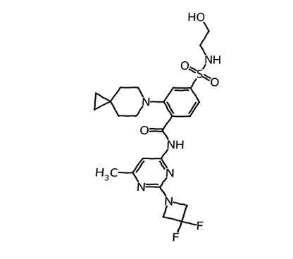 Cc1cc(NC(=O)c2ccc(S(=O)(=O)NCCO)cc2N2CCC3(CC2)CC3)nc(N2CC(F)(F)C2)n1